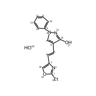 CCc1nc(C=Cc2cn(-c3ccccc3)nc2O)co1.Cl